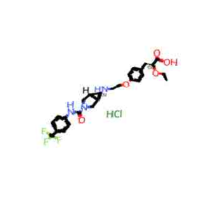 CCO[C@@H](Cc1ccc(OCCN[C@H]2C3CN(C(=O)Nc4ccc(C(F)(F)F)cc4)C[C@@H]32)cc1)C(=O)O.Cl